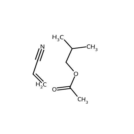 C=CC#N.CC(=O)OCC(C)C